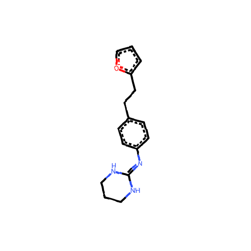 c1coc(CCc2ccc(N=C3NCCCN3)cc2)c1